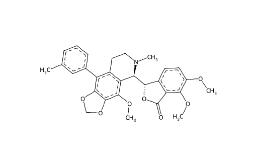 COc1ccc2c(c1OC)C(=O)O[C@@H]2[C@H]1c2c(c(-c3cccc(C)c3)c3c(c2OC)OCO3)CCN1C